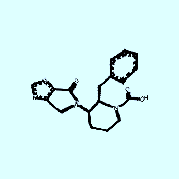 O=C(O)N1CCCC(N2Cc3ncsc3C2=O)C1Cc1ccccc1